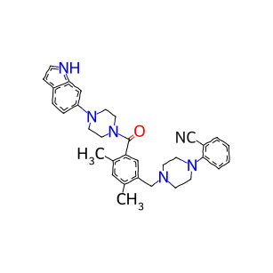 Cc1cc(C)c(C(=O)N2CCN(c3ccc4cc[nH]c4c3)CC2)cc1CN1CCN(c2ccccc2C#N)CC1